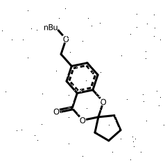 CCCCOCc1ccc2c(c1)C(=O)OC1(CCCC1)O2